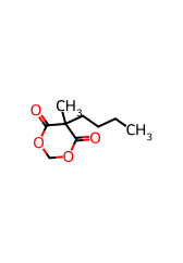 CCCCC1(C)C(=O)OCOC1=O